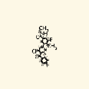 CCNC(=O)c1cc(F)c(C)c(-c2cc(Cl)c(C(=O)c3ccc(F)cc3)cn2)c1